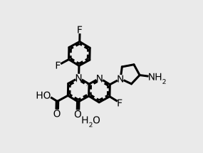 NC1CCN(c2nc3c(cc2F)c(=O)c(C(=O)O)cn3-c2ccc(F)cc2F)C1.O